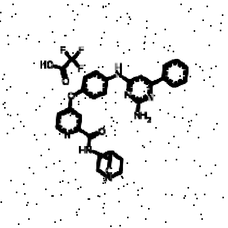 Nc1nc(Nc2ccc(Oc3ccnc(C(=O)NC4CN5CCC4CC5)c3)cc2)cc(-c2ccccc2)n1.O=C(O)C(F)(F)F